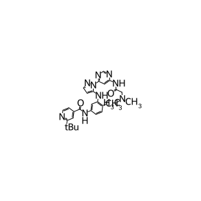 Cc1ccc(NC(=O)c2ccnc(C(C)(C)C)c2)cc1Nc1ccnn1-c1cc(NC(=O)CN(C)C)ncn1